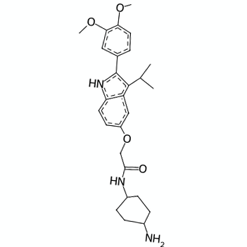 COc1ccc(-c2[nH]c3ccc(OCC(=O)NC4CCC(N)CC4)cc3c2C(C)C)cc1OC